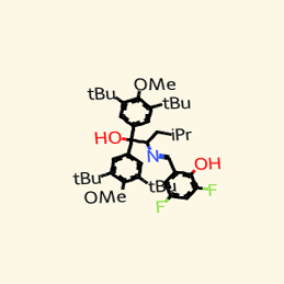 COc1c(C(C)(C)C)cc(C(O)(c2cc(C(C)(C)C)c(OC)c(C(C)(C)C)c2)C(CC(C)C)N=Cc2cc(F)cc(F)c2O)cc1C(C)(C)C